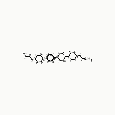 CCC[C@H]1CC[C@H]([C@H]2CC[C@H](c3ccc([C@H]4CC[C@H](CCCF)CC4)cc3)CC2)CC1